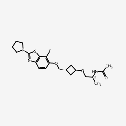 CC(=O)N[C@@H](C)CO[C@H]1C[C@H](COc2ccc3nc(N4CCCC4)sc3c2F)C1